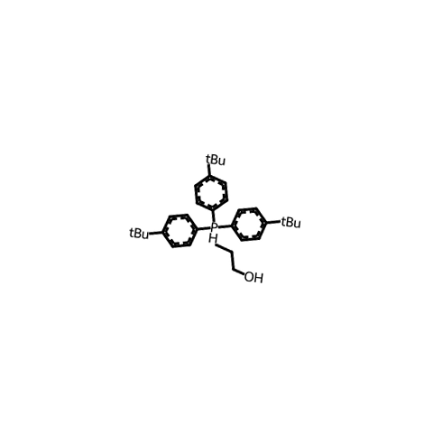 CC(C)(C)c1ccc([PH](CCCO)(c2ccc(C(C)(C)C)cc2)c2ccc(C(C)(C)C)cc2)cc1